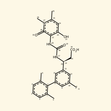 Cc1cccc(C)c1-c1cc(F)cc([C@H](CC(=O)O)NC(=O)Nc2c(O)cc(C)n(C)c2=O)c1